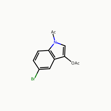 CC(=O)Oc1cn(C(C)=O)c2ccc(Br)cc12